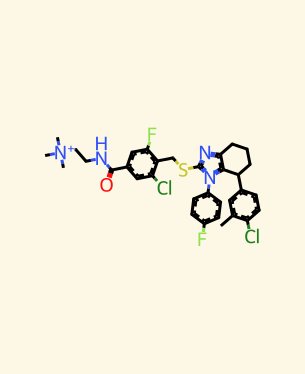 Cc1cc(C2CCCc3nc(SCc4c(F)cc(C(=O)NCC[N+](C)(C)C)cc4Cl)n(-c4ccc(F)cc4)c32)ccc1Cl